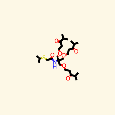 CC(C)SCC(=O)NC(COCCC(=O)C(C)C)(COCCC(=O)C(C)C)COCCC(=O)C(C)C